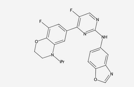 CC(C)N1CCOc2c(F)cc(-c3nc(Nc4ccc5ocnc5c4)ncc3F)cc21